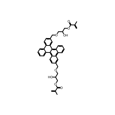 C=C(C)C(=O)OCC(O)COCc1ccc2c(c1)c1ccccc1c1c3cc(COCC(O)COC(=O)C(=C)C)ccc3c3ccccc3c21